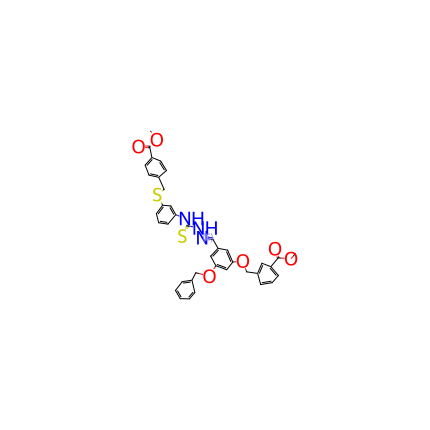 COC(=O)c1ccc(CSc2cccc(NC(=S)N/N=C/c3cc(OCc4ccccc4)cc(OCc4cccc(C(=O)OC)c4)c3)c2)cc1